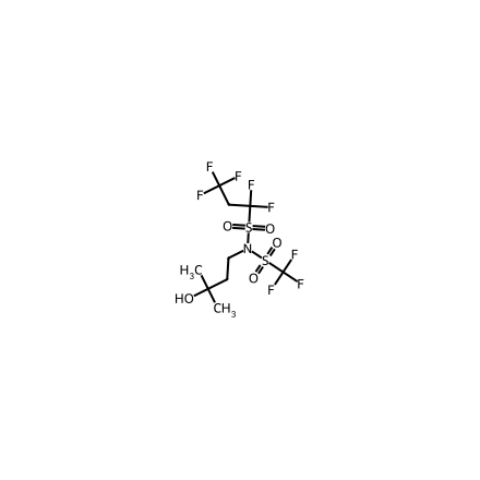 CC(C)(O)CCN(S(=O)(=O)C(F)(F)F)S(=O)(=O)C(F)(F)CC(F)(F)F